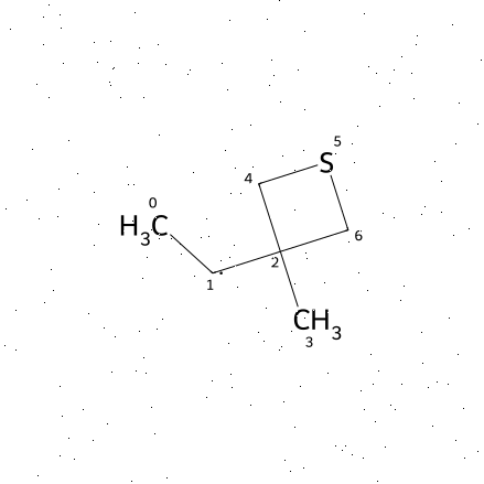 C[CH]C1(C)CSC1